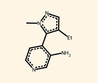 CCc1cnn(C)c1-c1ccncc1N